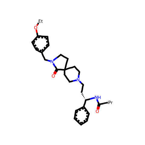 CCOc1ccc(CN2CCC3(CCN(CC[C@H](NC(=O)C(C)C)c4ccccc4)CC3)C2=O)cc1